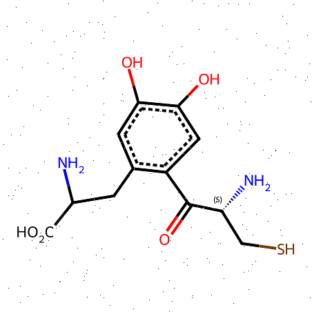 NC(Cc1cc(O)c(O)cc1C(=O)[C@H](N)CS)C(=O)O